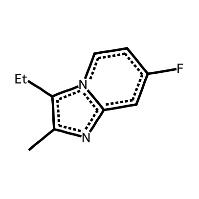 CCc1c(C)nc2cc(F)ccn12